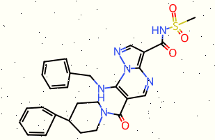 CS(=O)(=O)NC(=O)c1cnn2c(NCc3ccccc3)c(C(=O)N3CCC(c4ccccc4)CC3)cnc12